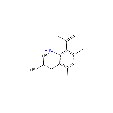 C=C(C)c1c(C)cc(C)c(CC(CCC)CCC)c1N